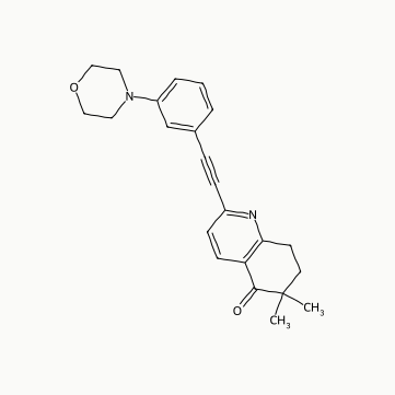 CC1(C)CCc2nc(C#Cc3cccc(N4CCOCC4)c3)ccc2C1=O